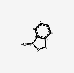 [O-][S+]1SCc2ccccc21